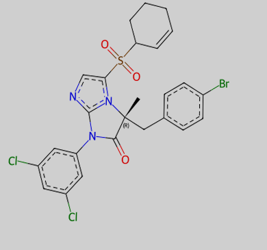 C[C@@]1(Cc2ccc(Br)cc2)C(=O)N(c2cc(Cl)cc(Cl)c2)c2ncc(S(=O)(=O)C3C=CCCC3)n21